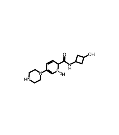 [2H]N1C=C(N2CCNCC2)C=CC1C(=O)NC1CC(O)C1